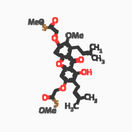 COSC(=O)COc1cc2oc3cc(OCC(=O)SOC)c(OC)c(CC=C(C)C)c3c(=O)c2c(O)c1CC=C(C)C